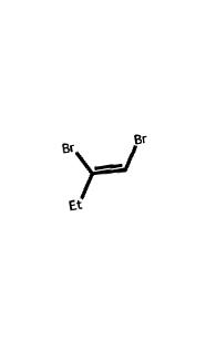 CCC(Br)=CBr